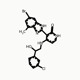 Cc1cc(Br)cc2[nH]c(-c3c(NCC(O)c4cccc(Cl)c4)cc[nH]c3=O)nc12